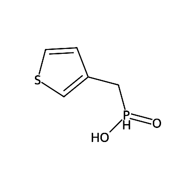 O=[PH](O)Cc1ccsc1